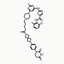 Cc1nc(Nc2ncc(C(=O)Nc3c(C)cccc3Cl)s2)cc(N2CCN(CCCCC(=O)N3CC4(C3)CN(c3ccc(C5CCC(=O)NC5=O)cc3)C4)CC2)n1